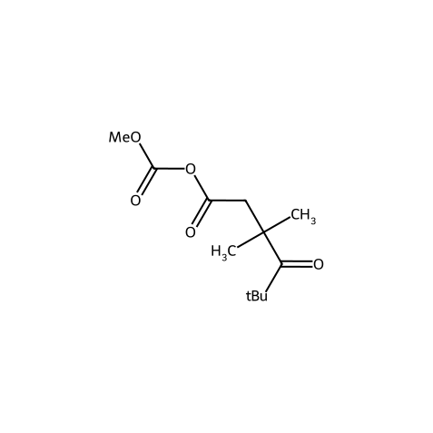 COC(=O)OC(=O)CC(C)(C)C(=O)C(C)(C)C